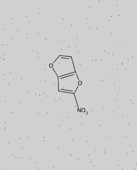 O=[N+]([O-])c1cc2occc2o1